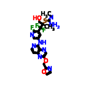 C/N=C(/N)S[C@@](C)(CO)C(F)(F)c1cc(Nc2nccc3nc(OCc4ncco4)cnc23)cnc1F